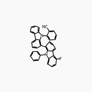 N#Cc1ccccc1-n1c2ccccc2c2cccc(-c3cccc4c5c(F)cccc5n(-c5ccccc5)c34)c21